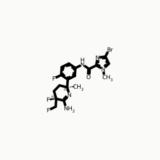 Cn1cc(Br)nc1C(=O)Nc1ccc(F)c([C@]2(C)CC[C@@](F)(CF)C(N)=N2)c1